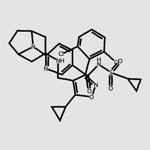 O=C(NS(=O)(=O)C1CC1)c1ccc(N2C3CCC2CC(NCc2c(-c4c(Cl)cccc4Cl)noc2C2CC2)C3)nc1